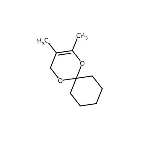 CC1=C(C)OC2(CCCCC2)OC1